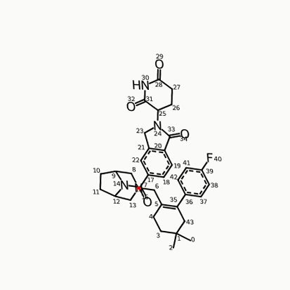 CC1(C)CCC(CN2CC3CCC(C2)N3C(=O)c2ccc3c(c2)CN(C2CCC(=O)NC2=O)C3=O)=C(c2ccc(F)cc2)C1